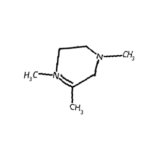 CC1=[N+](C)CCN(C)C1